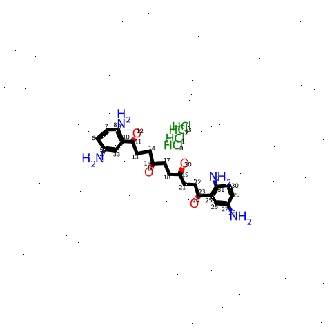 Cl.Cl.Cl.Cl.Nc1ccc(N)c(C(=O)CCC(=O)CCC(=O)CCC(=O)c2cc(N)ccc2N)c1